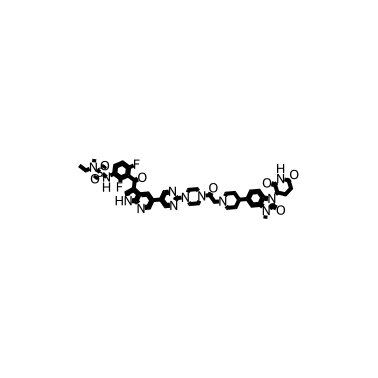 CCN(C)S(=O)(=O)Nc1ccc(F)c(C(=O)c2c[nH]c3ncc(-c4cnc(N5CCN(C(=O)CN6CCC(c7ccc8c(c7)n(C)c(=O)n8C7CCC(=O)NC7=O)CC6)CC5)nc4)cc23)c1F